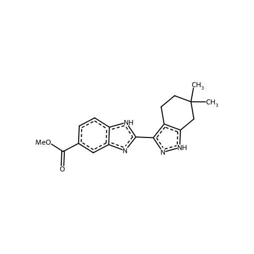 COC(=O)c1ccc2[nH]c(-c3n[nH]c4c3CCC(C)(C)C4)nc2c1